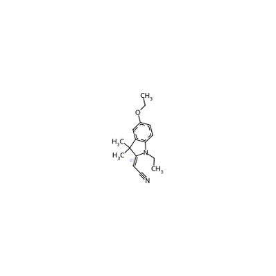 CCOc1ccc2c(c1)C(C)(C)/C(=C/C#N)N2CC